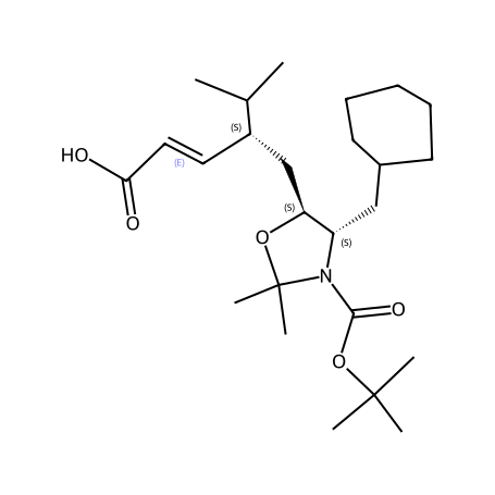 CC(C)[C@@H](/C=C/C(=O)O)C[C@@H]1OC(C)(C)N(C(=O)OC(C)(C)C)[C@H]1CC1CCCCC1